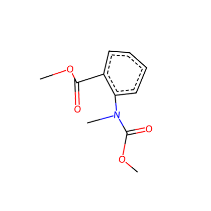 COC(=O)c1ccccc1N(C)C(=O)OC